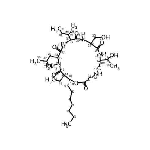 CCCCCCC[C@H]1OC(=O)CNC[C@H]([C@H](C)O)NC(=O)[C@H](CO)NC(=O)[C@H]([C@H](C)CC)NC(=O)[C@H](CC(C)C)N(C)C(=O)[C@@H]1CC